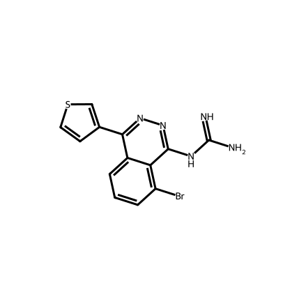 N=C(N)Nc1nnc(-c2ccsc2)c2cccc(Br)c12